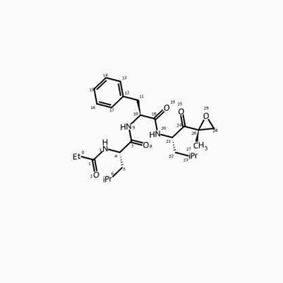 CCC(=O)N[C@@H](CC(C)C)C(=O)N[C@@H](Cc1ccccc1)C(=O)N[C@@H](CC(C)C)C(=O)[C@@]1(C)CO1